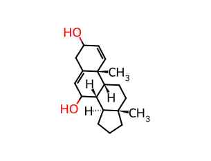 C[C@@]12CCC[C@H]1[C@@H]1C(O)C=C3CC(O)C=C[C@]3(C)[C@@H]1CC2